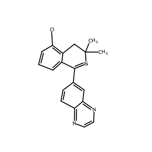 CC1(C)Cc2c(Cl)cccc2C(c2ccc3nccnc3c2)=N1